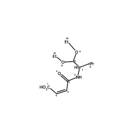 CCC[SiH](NC(=O)/C=C\C(=O)O)C(OCC)OCC